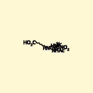 CC(=O)Nc1cc(NCCCCCCCCCC(=O)O)ccc1C(=O)Nc1nc(C)c([N+](=O)[O-])s1